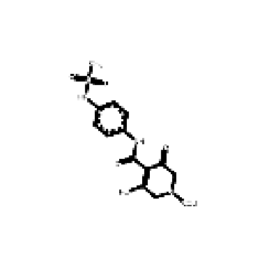 CS(=O)(=O)Nc1ccc(NC(=O)C2=C(O)CN(C(=O)O)CC2=O)cc1